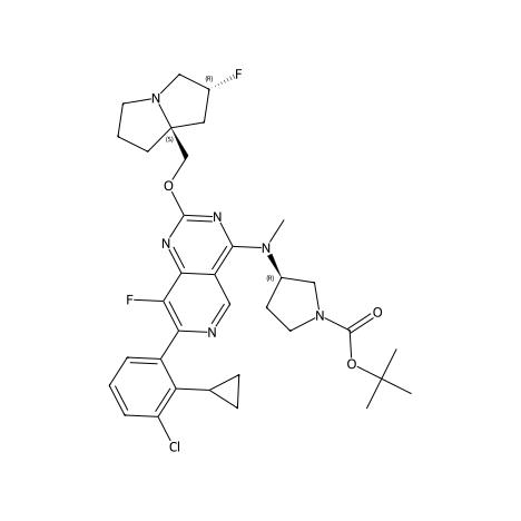 CN(c1nc(OC[C@@]23CCCN2C[C@H](F)C3)nc2c(F)c(-c3cccc(Cl)c3C3CC3)ncc12)[C@@H]1CCN(C(=O)OC(C)(C)C)C1